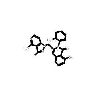 Cc1ccccc1-n1c(Cn2nc(I)c3c(N)nccc32)cc2cccc(C)c2c1=O